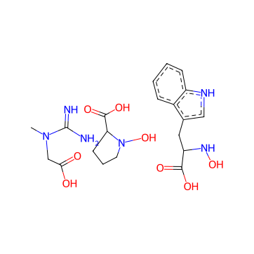 CN(CC(=O)O)C(=N)N.O=C(O)C(Cc1c[nH]c2ccccc12)NO.O=C(O)C1CCCN1O